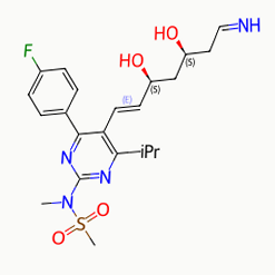 CC(C)c1nc(N(C)S(C)(=O)=O)nc(-c2ccc(F)cc2)c1/C=C/[C@@H](O)C[C@@H](O)CC=N